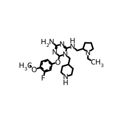 CCN1CCCC1CNC1=NC(N)=NC(Oc2ccc(OC)c(F)c2)N1CC1CCNCC1